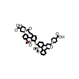 CC(C)c1ccccc1-c1c(/C=C/C(=O)N2CCC(C(=O)O)CC2)ccc(Sc2ccc(/C=C/C(=O)N3CCC(C(=O)O)CC3)c(-c3ccccc3C(C)C)c2[N+](=O)[O-])c1[N+](=O)[O-]